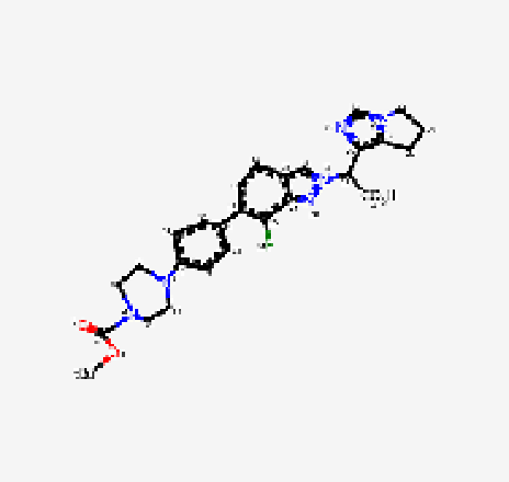 CC(C)(C)OC(=O)N1CCN(c2ccc(-c3ccc4cn(C(C(=O)O)c5ncn6c5CCC6)nc4c3F)cc2)CC1